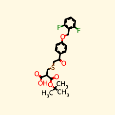 CC(C)(C)OC(=O)C(CSCC(=O)c1ccc(OCc2c(F)cccc2F)cc1)C(=O)O